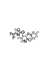 Cc1ccc(Oc2ccc(CN3C(=O)OCC3C(F)F)cn2)c(F)c1